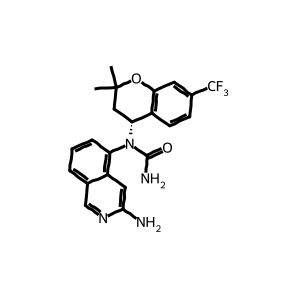 CC1(C)C[C@@H](N(C(N)=O)c2cccc3cnc(N)cc23)c2ccc(C(F)(F)F)cc2O1